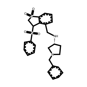 O=S1(=O)CC(S(=O)(=O)c2ccccc2)c2c(CN[C@@H]3CCN(Cc4ccccc4)C3)cccc21